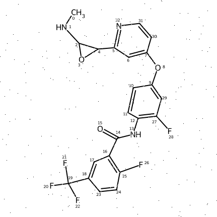 CNC1OC1c1cc(Oc2ccc(NC(=O)c3cc(C(F)(F)F)ccc3F)c(F)c2)ccn1